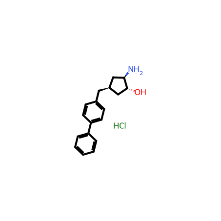 Cl.N[C@@H]1C[C@H](Cc2ccc(-c3ccccc3)cc2)C[C@H]1O